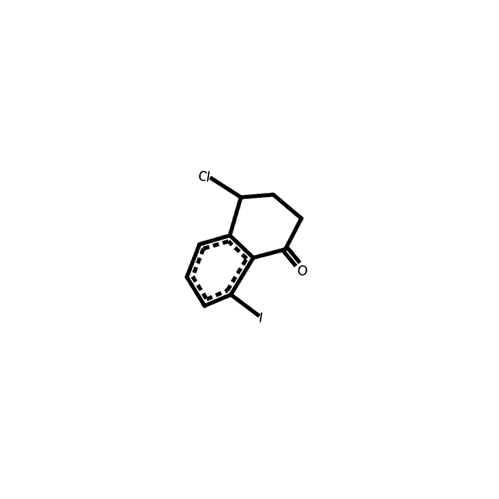 O=C1CCC(Cl)c2cccc(I)c21